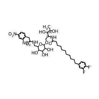 C[C@@H](O)[C@@H](O)[C@H](COC1OC(CNC(=O)Cc2ccc([N+](=O)[O-])cc2[N+](=O)[O-])C(O)C(O)C1O)NC(=O)CCCCCCCCCCc1ccc(F)c(F)c1